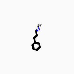 CC(C)/N=C/C=C/c1ccccc1